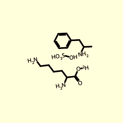 CC(N)Cc1ccccc1.O=S(=O)(O)O.[2H]OC(=O)C(N)CCCCN